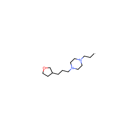 [CH2]CCN1CCN(CCCC2CCOC2)CC1